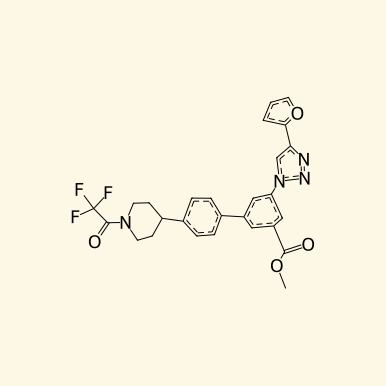 COC(=O)c1cc(-c2ccc(C3CCN(C(=O)C(F)(F)F)CC3)cc2)cc(-n2cc(-c3ccco3)nn2)c1